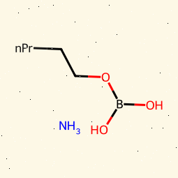 CCCCCOB(O)O.N